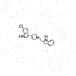 Clc1ccc2c(C3=CCN(CCC4Cc5ccccc5N4)CC3)c[nH]c2c1